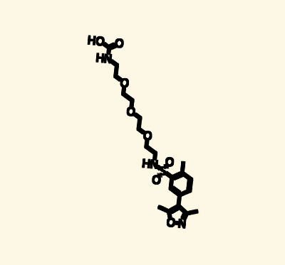 Cc1ccc(-c2c(C)noc2C)cc1S(=O)(=O)NCCOCCOCCOCCNC(=O)O